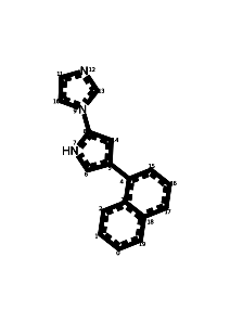 c1ccc2c(-c3c[nH]c(-n4ccnc4)c3)cccc2c1